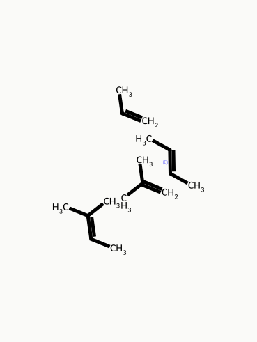 C/C=C/C.C=C(C)C.C=CC.CC=C(C)C